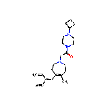 C=C/C(=C\C1=C(C)CCN(CC(=O)N2CCN(C3CCC3)CC2)CC1)OC